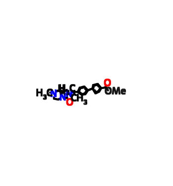 COC(=O)c1ccc(-c2ccc(C(C)(C)N3C[C@@H]4CN(C)CCN4C3=O)cc2)cc1